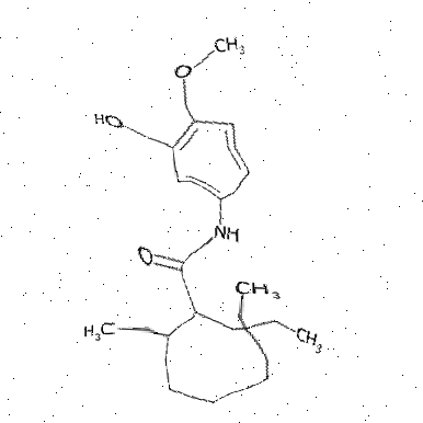 COc1ccc(NC(=O)C2C(C)CCCC2(C)C)cc1O